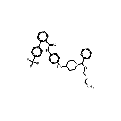 CCOCOC(c1ccccc1)N1CCC(Nc2ccc(NC(=O)c3ccccc3-c3ccc(C(F)(F)F)cc3)cc2)CC1